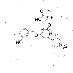 CC(=O)N1CCN2c3cc(OCc4ccc(F)c(C#N)c4)nc(=O)n3CC2C1.O=C(O)C(F)(F)F